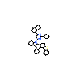 c1ccc(-c2nc(-c3cccc4ccccc34)cc(-n3c4ccccc4c4c5ccccc5c5c(ccc6sc7ccccc7c65)c43)n2)cc1